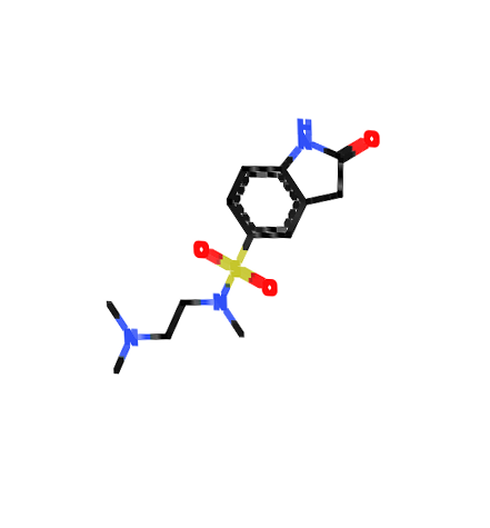 CN(C)CCN(C)S(=O)(=O)c1ccc2c(c1)CC(=O)N2